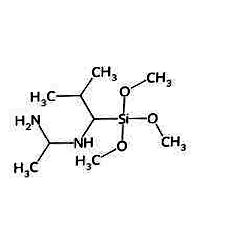 CO[Si](OC)(OC)C(NC(C)N)C(C)C